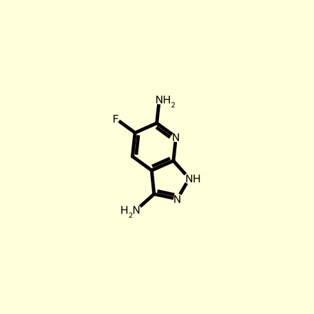 Nc1nc2[nH]nc(N)c2cc1F